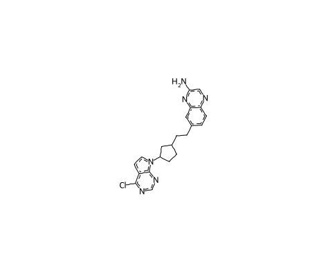 Nc1cnc2ccc(CCC3CCC(n4ccc5c(Cl)ncnc54)C3)cc2n1